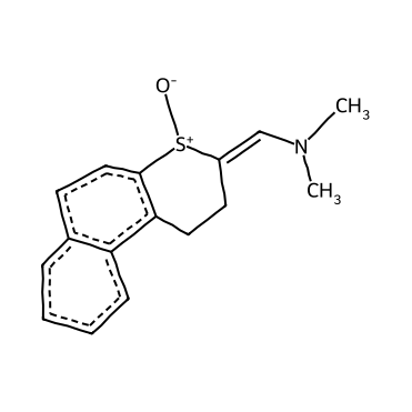 CN(C)C=C1CCc2c(ccc3ccccc23)[S+]1[O-]